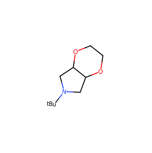 CC(C)(C)N1CC2OCCOC2C1